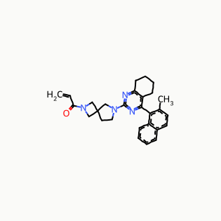 C=CC(=O)N1CC2(CCN(c3nc4c(c(-c5c(C)ccc6ccccc56)n3)CCCC4)C2)C1